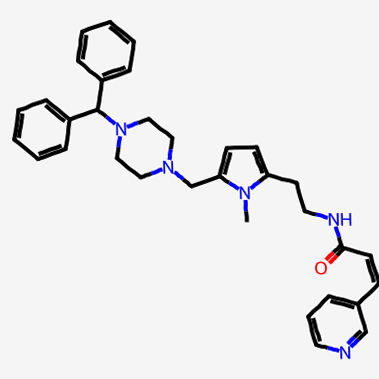 Cn1c(CCNC(=O)/C=C\c2cccnc2)ccc1CN1CCN(C(c2ccccc2)c2ccccc2)CC1